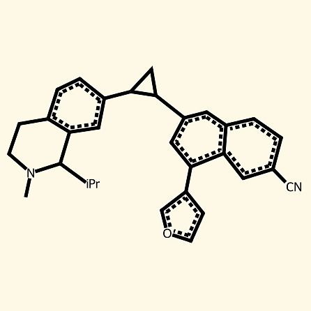 CC(C)C1c2cc(C3CC3c3cc(-c4ccoc4)c4cc(C#N)ccc4c3)ccc2CCN1C